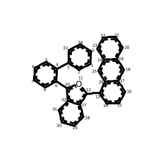 c1ccc(-c2ccccc2-c2oc(-c3cccc4cc5ccccc5cc34)c3ccccc23)cc1